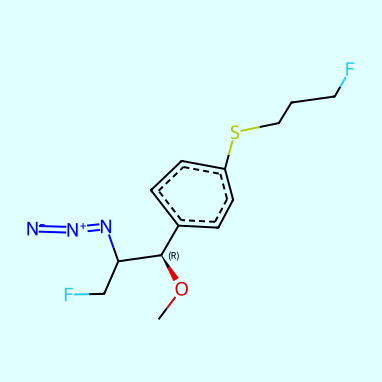 CO[C@H](c1ccc(SCCCF)cc1)C(CF)N=[N+]=[N-]